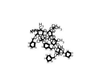 CC1C(O[C@@H]2OCC3(COCc4ccccc4)O[C@@H](c4ccccc4)O[C@H]23)[C@H](OCc2ccccc2)CO[C@H]1O[C@H]1C(C)O[C@@H](OC2C(C)[C@@H](N=[N+]=[N-])C(COCc3ccccc3)O[C@@H]2ONC(Cl)(Cl)Cl)C2OC(C)(C)OC21